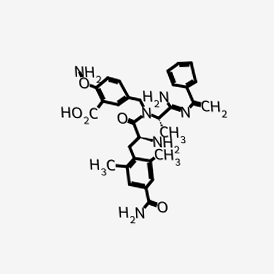 C=C(/N=C(\N)[C@H](C)N(Cc1ccc(ON)c(C(=O)O)c1)C(=O)[C@@H](N)Cc1c(C)cc(C(N)=O)cc1C)c1ccccc1